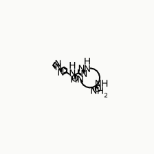 NC1CCCCNc2nc(ncc2C(=O)NCc2ccc(-n3cccn3)nc2)NCCCCCCNC1=O